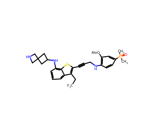 COc1cc(P(C)(C)=O)ccc1NCC#Cc1sc2c(NC3CC4(CNC4)C3)cccc2c1CC(F)(F)F